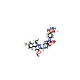 CCOc1cc(-c2ccc(F)cc2)c(C2CC2)nc1CN1CCC2(CC1)CN(c1ccc(S(N)(=O)=O)cc1)C(=O)O2